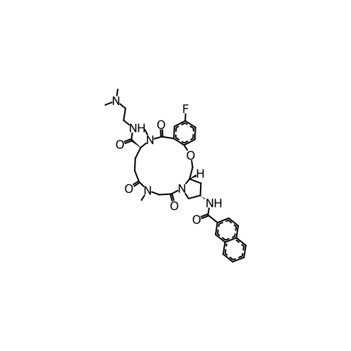 CN(C)CCNC(=O)[C@@H]1CCC(=O)N(C)CC(=O)N2C[C@@H](NC(=O)c3ccc4ccccc4c3)C[C@H]2COc2ccc(F)cc2C(=O)N1C